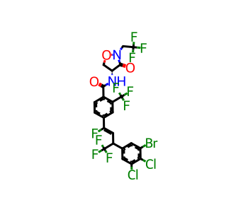 O=C(N[C@@H]1CON(CC(F)(F)F)C1=O)c1ccc(/C(F)=C/C(c2cc(Cl)c(Cl)c(Br)c2)C(F)(F)F)cc1C(F)(F)F